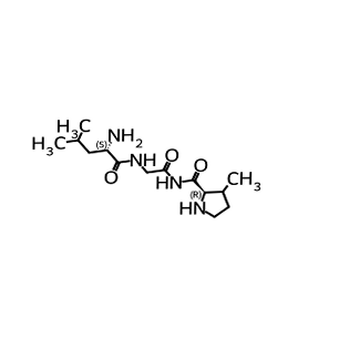 CC(C)C[C@H](N)C(=O)NCC(=O)NC(=O)[C@@H]1NCCC1C